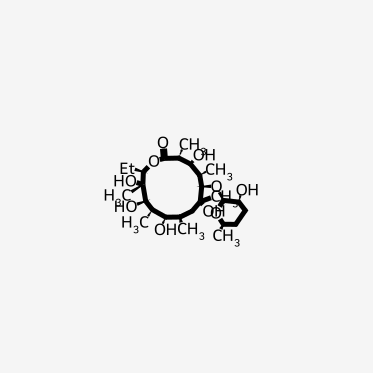 CC[C@H]1OC(=O)[C@H](C)[C@@H](O)[C@H](C)[C@@H](O[C@@H]2O[C@H](C)CC[C@H]2O)C(C)(O)C[C@@H](C)[C@H](O)[C@H](C)[C@@H](O)[C@]1(C)O